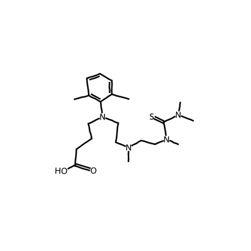 Cc1cccc(C)c1N(CCCC(=O)O)CCN(C)CCN(C)C(=S)N(C)C